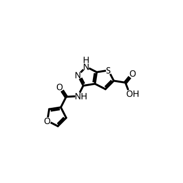 O=C(Nc1n[nH]c2sc(C(=O)O)cc12)c1ccoc1